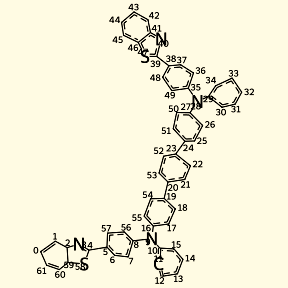 C1=CC2N=C(c3ccc(N(c4ccccc4)c4ccc(-c5ccc(-c6ccc(N(c7ccccc7)c7ccc(-c8nc9ccccc9s8)cc7)cc6)cc5)cc4)cc3)SC2C=C1